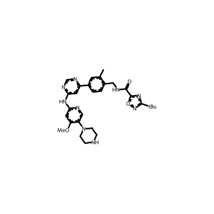 COc1cc(Nc2cc(-c3ccc(CNC(=O)c4nc(C(C)(C)C)no4)c(C)c3)ncn2)ncc1N1CCNCC1